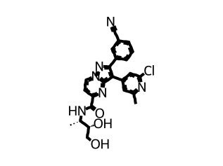 Cc1cc(-c2c(-c3cccc(C#N)c3)nn3ccc(C(=O)N[C@@H](C)[C@H](O)CO)nc23)cc(Cl)n1